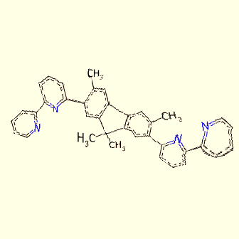 Cc1cc2c(cc1-c1cccc(-c3ccccn3)n1)C(C)(C)c1cc(-c3cccc(-c4ccccn4)n3)c(C)cc1-2